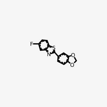 Fc1ccc2sc(-c3ccc4c(c3)OCO4)nc2c1